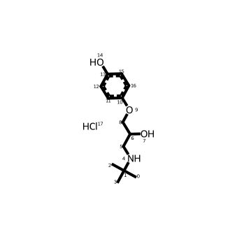 CC(C)(C)NCC(O)COc1ccc(O)cc1.Cl